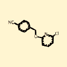 N#Cc1ccc(COc2cccc(Cl)n2)cc1